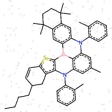 CCCCC1C=Cc2sc3c(c2C1)N(c1ccccc1C)c1cc(C)cc2c1B3c1cc3c(cc1N2c1ccccc1C)C(C)(C)CCC3(C)C